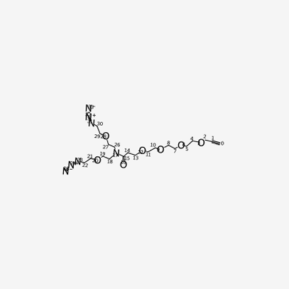 C#CCOCCOCCOCCOCCC(=O)N(CCOCCN=[N+]=[N-])CCOCCN=[N+]=[N-]